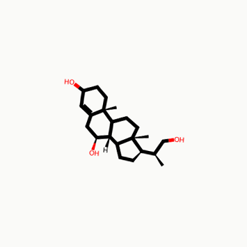 C[C@H](CO)[C@H]1CCC2[C@H]3C(CC[C@@]21C)[C@@]1(C)CCC(O)C=C1C[C@@H]3O